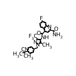 Cc1c(NC(=O)c2cc(C(N)=O)nc3cc(F)ccc23)c(C(F)(F)F)nn1Cc1ccc(C(C)(C)C#N)cc1